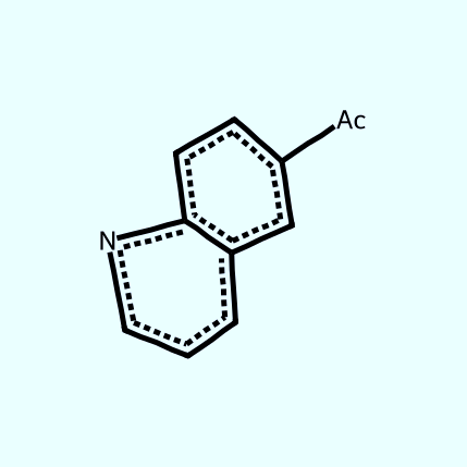 CC(=O)c1ccc2ncccc2c1